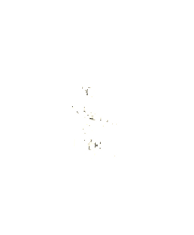 COC(=O)[N+](CCCc1cccnc1)(Cc1ccc(C(=O)Nc2ccccc2N)cc1)c1cccnc1